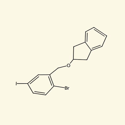 Brc1ccc(I)cc1COC1Cc2ccccc2C1